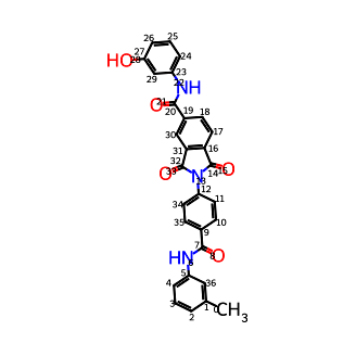 Cc1cccc(NC(=O)c2ccc(N3C(=O)c4ccc(C(=O)Nc5cccc(O)c5)cc4C3=O)cc2)c1